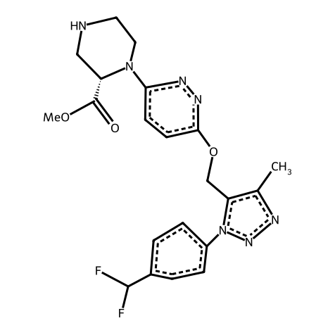 COC(=O)[C@@H]1CNCCN1c1ccc(OCc2c(C)nnn2-c2ccc(C(F)F)cc2)nn1